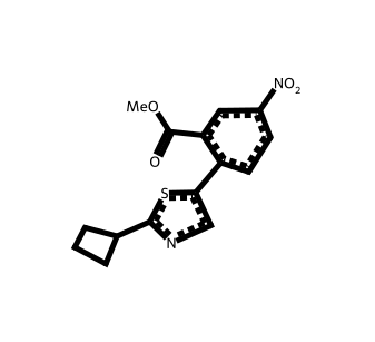 COC(=O)c1cc([N+](=O)[O-])ccc1-c1cnc(C2CCC2)s1